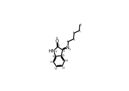 CCCCCN=C1C(=O)Nc2ccccc21